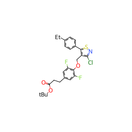 CCc1ccc(-c2snc(Cl)c2COc2c(F)cc(CCC(=O)OC(C)(C)C)cc2F)cc1